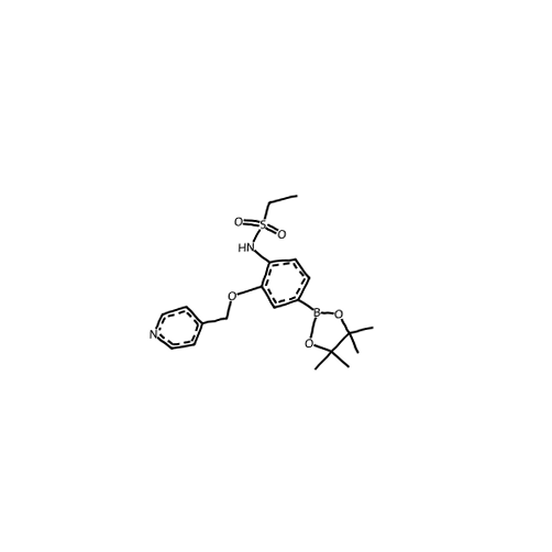 CCS(=O)(=O)Nc1ccc(B2OC(C)(C)C(C)(C)O2)cc1OCc1ccncc1